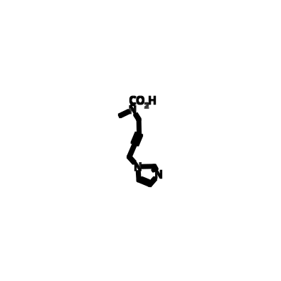 CN(CC#CCn1ccnc1)C(=O)O